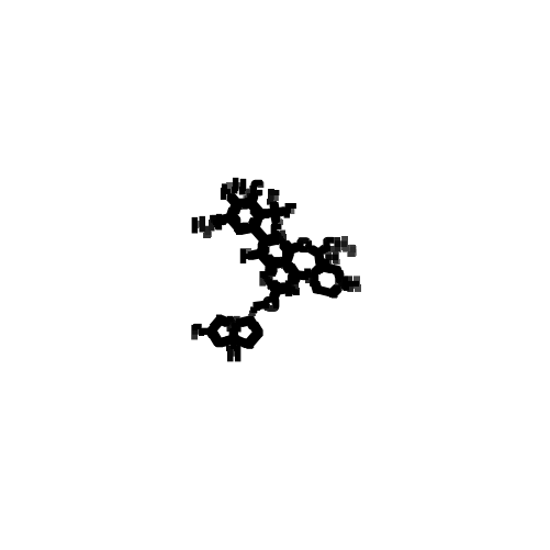 Cc1c(F)c(N)cc(-c2nc3c4c(nc(OC[C@@H]5CC[C@H]6C[C@@H](F)CN56)nc4c2F)N2CCNC[C@H]2[C@H](C)O3)c1C(F)(F)F